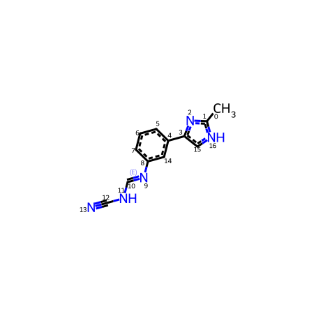 Cc1nc(-c2cccc(/N=C/NC#N)c2)c[nH]1